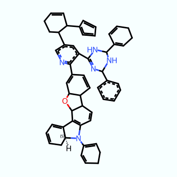 C1=CC=CC=1C1C=CCCC1c1cnc(C2=CC3OC4C5=C(C=CC4C3C=C2)N(C2=CCCC=C2)[C@H]2CC=CC=C52)c(C2=NC(c3ccccc3)NC(C3=CCCC=C3)N2)c1